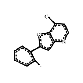 Fc1ccccc1-c1cc2nccc(Cl)c2o1